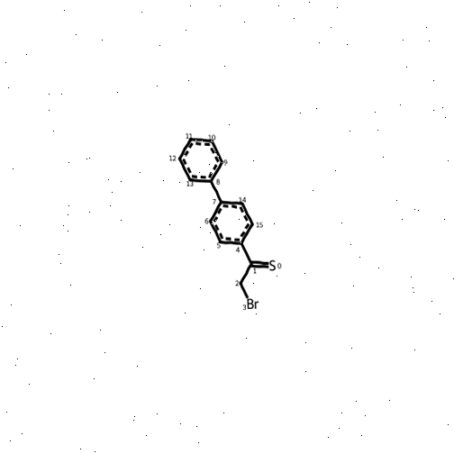 S=C(CBr)c1ccc(-c2ccccc2)cc1